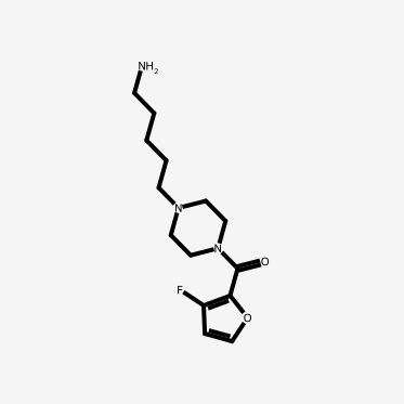 NCCCCCN1CCN(C(=O)c2occc2F)CC1